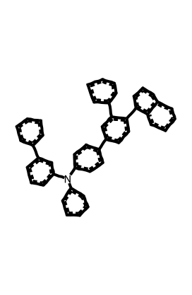 c1ccc(-c2cccc(N(c3ccccc3)c3ccc(-c4ccc(-c5cccc6ccccc56)c(-c5ccccc5)c4)cc3)c2)cc1